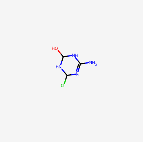 NC1=NC(Cl)NC(O)N1